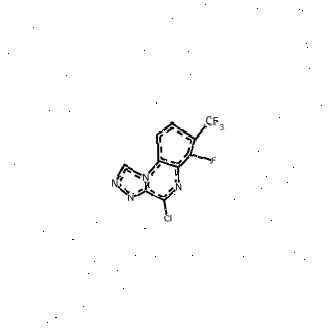 Fc1c(C(F)(F)F)ccc2c1nc(Cl)c1nncn12